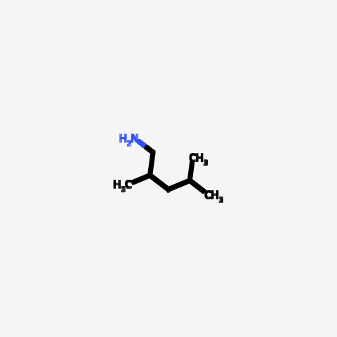 CC(C)[CH]C(C)CN